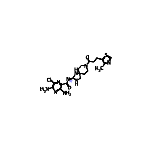 Cc1ncsc1CCC(=O)N1CCC2(CC1)CN/C(=N\C(=O)c1nc(Cl)c(N)nc1N)N2